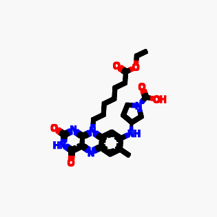 CCOC(=O)CCCCCCn1c2nc(=O)[nH]c(=O)c-2nc2cc(C)c(N[C@H]3CCN(C(=O)O)C3)cc21